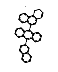 C1=Cc2cc(-c3c4ccccc4c(-c4ccc5ccccc5c4)c4ccccc34)c3ccccc3c2CC1